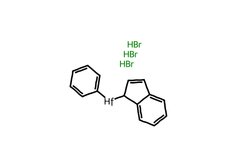 Br.Br.Br.C1=C[CH]([Hf][c]2ccccc2)c2ccccc21